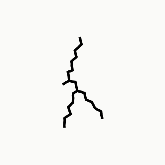 CCCCCCCC(C)CC(CCCCCC)CCCCCC